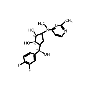 Cc1nccc(N(C)C2CC([C@@H](O)c3ccc(F)c(F)c3)[C@@H](O)[C@H]2O)n1